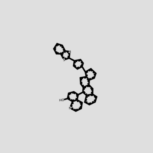 Oc1ccc(-c2c3ccccc3cc3c2ccc2c(-c4ccc(-c5nc6ccccc6s5)cc4)cccc23)c2cccnc12